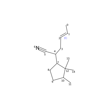 C/C=C/CC(C#N)C1CCC(C)C1(C)C